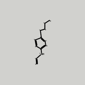 C=CNc1ccc(CCCC)cc1